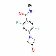 CC(C)NC(=O)c1cc(F)c(N2CC(=O)C2)cc1F